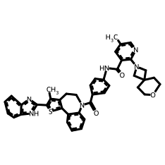 Cc1cnc(N2CC3(CCOCC3)C2)c(C(=O)Nc2ccc(C(=O)N3CCc4c(sc(-c5nc6ccccc6[nH]5)c4C)-c4ccccc43)cc2)c1